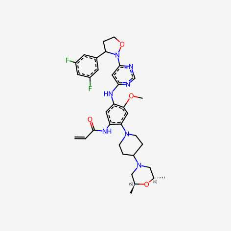 C=CC(=O)Nc1cc(Nc2cc(N3OCCC3c3cc(F)cc(F)c3)ncn2)c(OC)cc1N1CCC(N2C[C@H](C)O[C@@H](C)C2)CC1